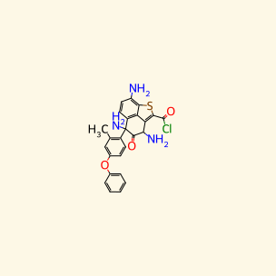 Cc1cc(Oc2ccccc2)ccc1C1(N)C(=O)C(N)c2c(C(=O)Cl)sc3c(N)ccc1c23